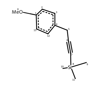 COc1ccc(CC#C[Si](C)(C)C)cc1